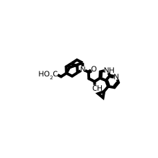 CC(CC(=O)N1C2CC3CC1CC(CC(=O)O)(C3)C2)c1c[nH]c2nccc(C3CC3)c12